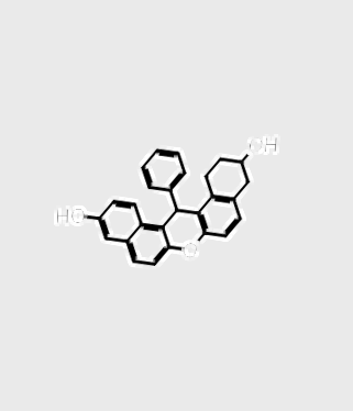 Oc1ccc2c3c(ccc2c1)Oc1ccc2c(c1C3c1ccccc1)CCC(O)C2